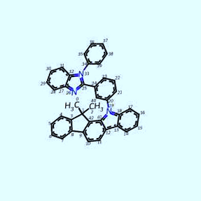 CC1(C)c2ccccc2-c2ccc3c4ccccc4n(-c4cccc(-c5nc6ccccc6n5-c5ccccc5)c4)c3c21